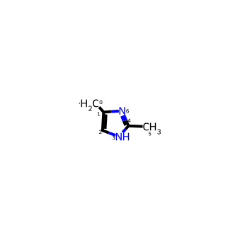 [CH2]c1c[nH]c(C)n1